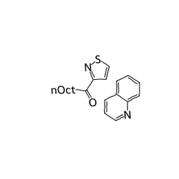 CCCCCCCCC(=O)c1ccsn1.c1ccc2ncccc2c1